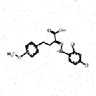 COc1ccc(CC/C(=N\Nc2ccc(Cl)cc2Cl)C(=O)O)cc1